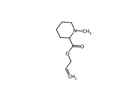 C=CCOC(=O)C1CCCCN1C